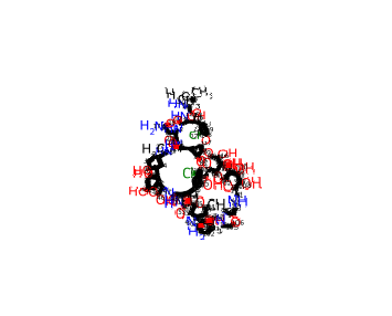 CN[C@H](CC(C)C)C(=O)NC1C(=O)NC(CC(N)=O)C(=O)N[C@H]2C(=O)NC(C)c3ccc(O)c(c3)-c3c(O)cc(O)cc3C(C(=O)O)NC(=O)[C@@H](NC=O)[C@H](O[C@H]3C[C@](C)(N)[C@@H](O)[C@H](C)O3)c3ccc(c(Cl)c3)Oc3cc2cc(c3O[C@@H]2O[C@H](CO)[C@@H](O[C@@H]3O[C@H](CNCC4CN(Cc5ccccc5)CCO4)[C@H](O)[C@H](O)[C@H]3O)[C@H](O)[C@H]2O)Oc2ccc(cc2Cl)[C@H]1O